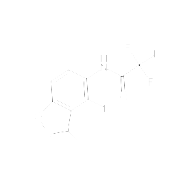 O=C(Nc1ccc2c(c1F)C(F)OO2)C(F)(F)F